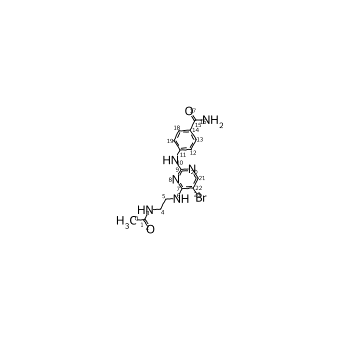 CC(=O)NCCNc1nc(Nc2ccc(C(N)=O)cc2)ncc1Br